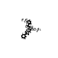 CCOC(=O)c1cc2nc(C3CCCCC3)cn2cc1NC(=O)c1cccc(C(F)(F)F)n1